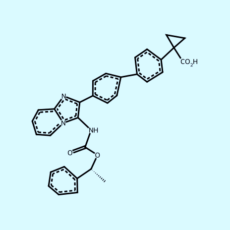 C[C@@H](OC(=O)Nc1c(-c2ccc(-c3ccc(C4(C(=O)O)CC4)cc3)cc2)nc2ccccn12)c1ccccc1